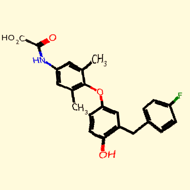 Cc1cc(NC(=O)C(=O)O)cc(C)c1Oc1ccc(O)c(Cc2ccc(F)cc2)c1